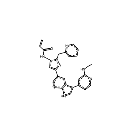 C=CC(=O)Nc1cc(-c2cnc3[nH]cc(-c4ccnc(NC)c4)c3c2)nn1Cc1ccccn1